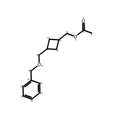 CC(=O)OCC1CC(COCc2ccccc2)C1